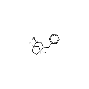 N[C@H]1CN(Cc2ccccc2)[C@H]2CC[C@@H]1C2